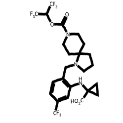 O=C(OC(C(F)(F)F)C(F)(F)F)N1CCC2(CCCN2Cc2ccc(C(F)(F)F)cc2NC2(C(=O)O)CC2)CC1